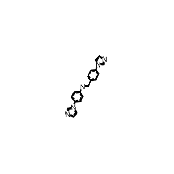 C(=N\c1ccc(-n2ccnc2)cc1)/c1ccc(-n2ccnc2)cc1